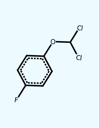 Fc1ccc(OC(Cl)Cl)cc1